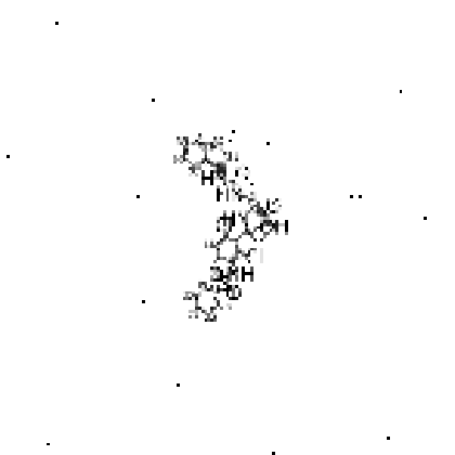 O=C(NCC(NC(=O)c1c(Cl)ccc(NS(=O)(=O)c2ccccc2)c1Cl)C(=O)O)N[C@@H]1CCc2ccccc21